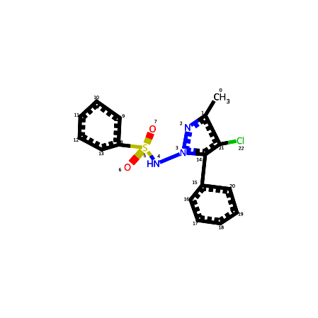 Cc1nn(NS(=O)(=O)c2ccccc2)c(-c2ccccc2)c1Cl